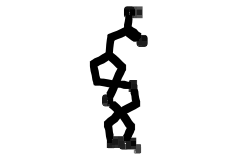 CCC1(CS)CSC2(CCC(CC(=O)O)C2)O1